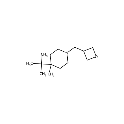 CC(C)(C)C1(C)CCN(CC2COC2)CC1